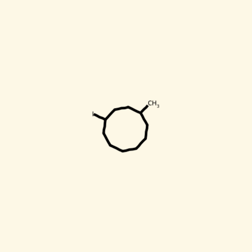 CC1CCCCCCC(I)CC1